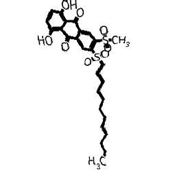 CCCCCCCCCCCCS(=O)(=O)c1cc2c(cc1S(C)(=O)=O)C(=O)c1c(O)ccc(O)c1C2=O